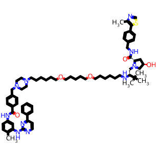 Cc1ccc(NC(=O)c2ccc(CN3CCN(CCCCCCOCCCCCOCCCCCCN[C@H](CN4C[C@H](O)C[C@H]4C(=O)NCc4ccc(-c5scnc5C)cc4)C(C)(C)C)CC3)cc2)cc1Nc1nccc(-c2ccccc2)n1